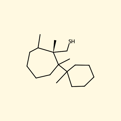 CC1CCCCC(C)(C2(C)CCCCC2)[C@@]1(C)CS